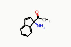 CC(=O)[C@@]1(N)C=Cc2ccccc21